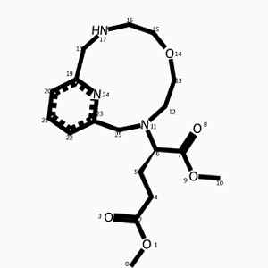 COC(=O)CC[C@H](C(=O)OC)N1CCOCCNCc2cccc(n2)C1